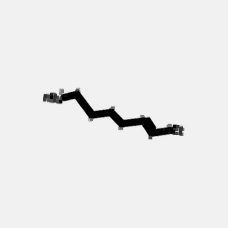 [CH2]CC=CCCCCCCCC